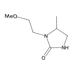 COCCN1C(=O)NCC1C